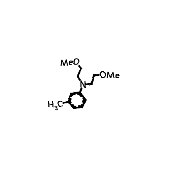 COCCN(CCOC)c1cccc(C)c1